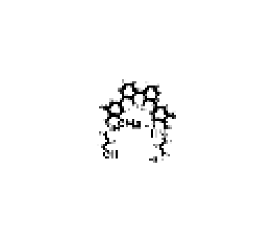 COc1cc(-c2cccc(-c3cccc(-c4cc(F)c(CNCCCO)c(OC)c4)c3C)c2C)cc(F)c1CNCCCO